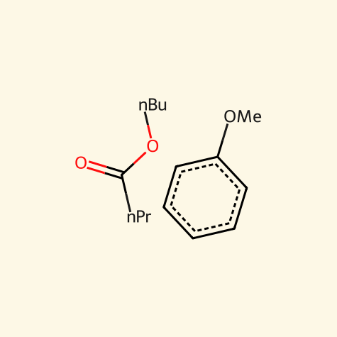 CCCCOC(=O)CCC.COc1ccccc1